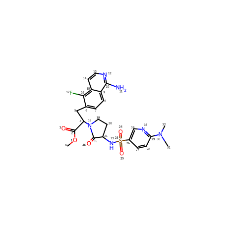 COC(=O)C(Cc1ccc2c(N)nccc2c1F)N1CCC(NS(=O)(=O)c2ccc(N(C)C)nc2)C1=O